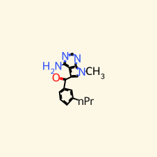 [CH2]CCc1cccc(C(=O)c2cn(C)c3ncnc(N)c23)c1